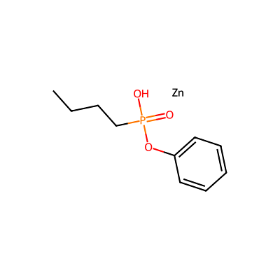 CCCCP(=O)(O)Oc1ccccc1.[Zn]